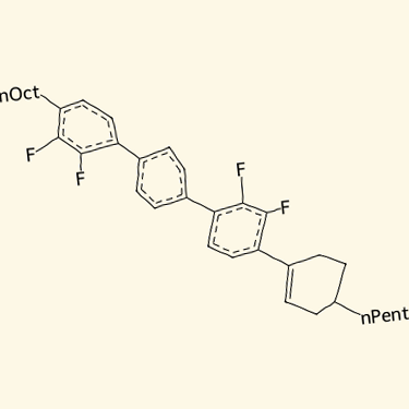 CCCCCCCCc1ccc(-c2ccc(-c3ccc(C4=CCC(CCCCC)CC4)c(F)c3F)cc2)c(F)c1F